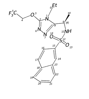 CCn1c(OCC(F)(F)F)nnc1[C@@H](C)NS(=O)(=O)c1ccc2ccccc2c1